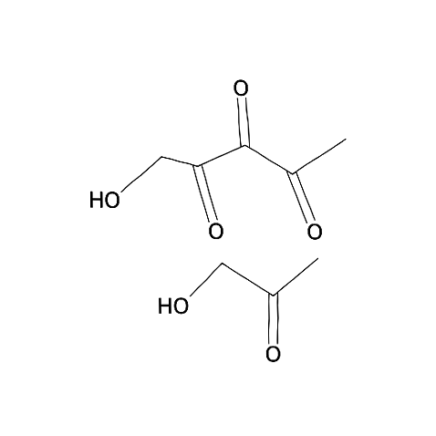 CC(=O)C(=O)C(=O)CO.CC(=O)CO